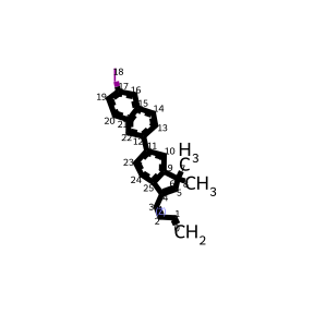 C=C/C=C\C1=CC(C)(C)c2cc(-c3ccc4cc(I)ccc4c3)ccc21